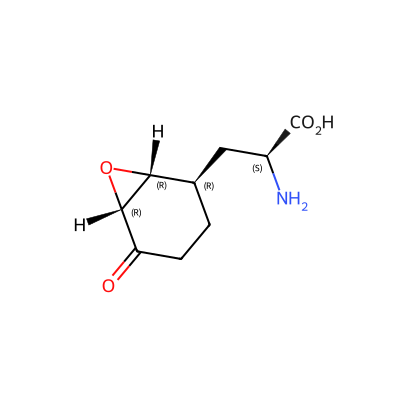 N[C@@H](C[C@H]1CCC(=O)[C@@H]2O[C@H]12)C(=O)O